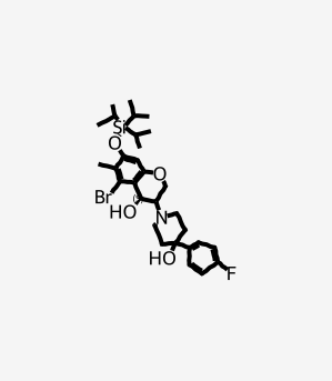 Cc1c(O[Si](C(C)C)(C(C)C)C(C)C)cc2c(c1Br)[C@H](O)C(N1CCC(O)(c3ccc(F)cc3)CC1)CO2